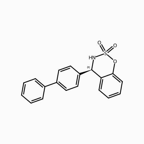 O=S1(=O)N[C@H](c2ccc(-c3ccccc3)cc2)c2ccccc2O1